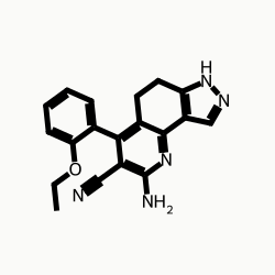 CCOc1ccccc1-c1c(C#N)c(N)nc2c1CCc1[nH]ncc1-2